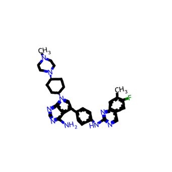 Cc1cc2nc(Nc3ccc(-c4cn([C@H]5CC[C@H](N6CCN(C)CC6)CC5)c5ncnc(N)c45)cc3)ncc2cc1F